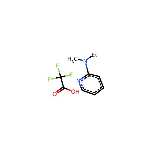 CCN(C)c1ccccn1.O=C(O)C(F)(F)F